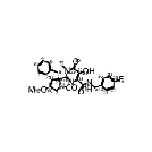 CO[C@H]1CN(C(=O)O)[C@](Cc2ccccc2)(c2nc(C(=O)NCc3ccc(F)cc3)c(O)c(=O)n2C)C1